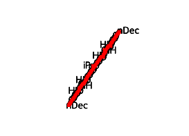 CCCCCCCCCCCCCCCCOCCOCCOCCOCCNC(=O)CCOCCNC(=O)CCOCCNC(=O)CCOCCOCCOCCOCCN(CCOCCOCCOCCOCCC(=O)NCCOCCC(=O)NCCOCCC(=O)NCCOCCOCCOCCOCCCCCCCCCCCCCCCC)C(=O)CC(C)C